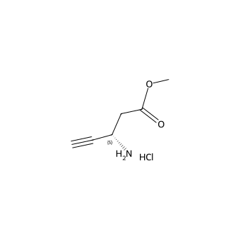 C#C[C@@H](N)CC(=O)OC.Cl